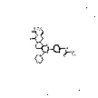 CCNC(=O)Nc1ccc(-c2nc3c(c(N4CCOCC4)n2)CCN(C(=O)OC(C)(C)C)C3CC=CC(=O)OCC)cc1